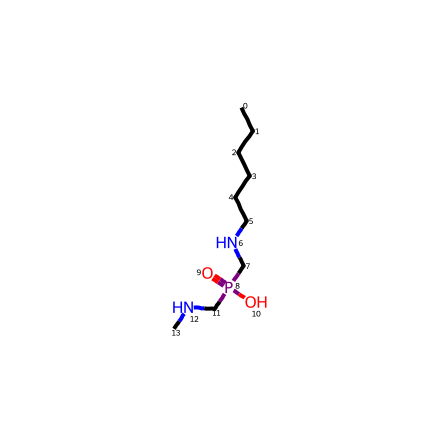 CCCCCCNCP(=O)(O)CNC